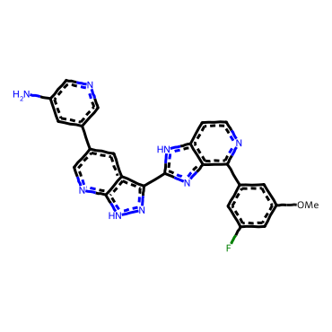 COc1cc(F)cc(-c2nccc3[nH]c(-c4n[nH]c5ncc(-c6cncc(N)c6)cc45)nc23)c1